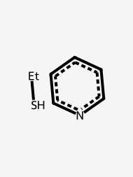 CCS.c1ccncc1